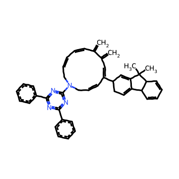 C=C1/C=C\C=C/CN(c2nc(-c3ccccc3)nc(-c3ccccc3)n2)C/C=C\C(C2C=C3C(=CC2)C2C=CC=CC2C3(C)C)=C/C1=C